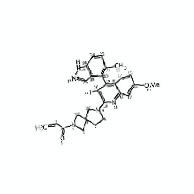 C=CC(=O)N1CC2(CCN(c3nc4cc(OC)ccc4c(-c4c(C)ccc5[nH]ncc45)c3F)C2)C1